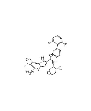 CO[C@@H]1CCOC[C@H]1N(Cc1ccc(-c2c(F)cccc2F)cn1)C(=O)c1cc2nc(N)c3c(c2[nH]1)CO[C@H]3C